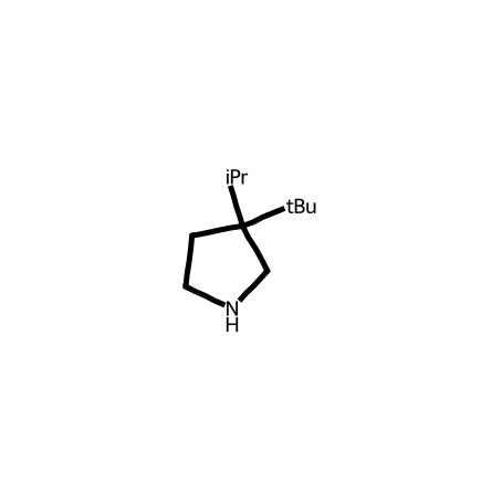 CC(C)C1(C(C)(C)C)CCNC1